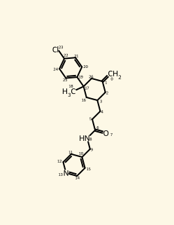 C=C1CC(CCC(=O)NCc2ccncc2)CC(C)(c2ccc(Cl)cc2)C1